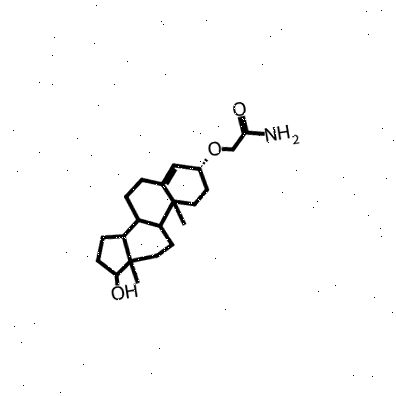 CC12CC[C@@H](OCC(N)=O)C=C1CCC1C2CCC2(C)C(O)CCC12